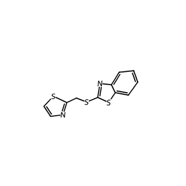 c1ccc2sc(SCc3nccs3)nc2c1